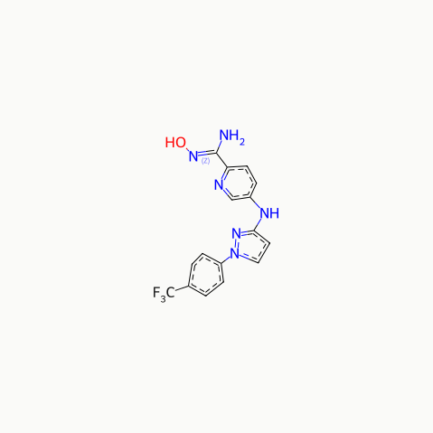 N/C(=N\O)c1ccc(Nc2ccn(-c3ccc(C(F)(F)F)cc3)n2)cn1